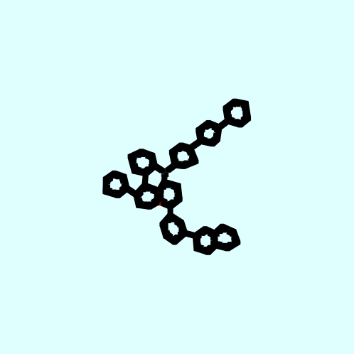 c1ccc(-c2ccc(-c3ccc(N(c4ccc(-c5cccc(-c6ccc7ccccc7c6)c5)cc4)c4ccccc4-c4ccccc4-c4ccccc4)cc3)cc2)cc1